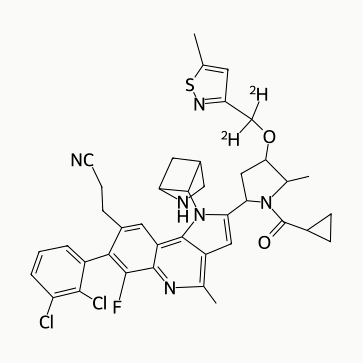 [2H]C([2H])(OC1CC(c2cc3c(C)nc4c(F)c(-c5cccc(Cl)c5Cl)c(CCC#N)cc4c3n2C2C3CNC2C3)N(C(=O)C2CC2)C1C)c1cc(C)sn1